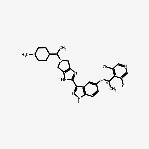 CC(C1CCN(C)CC1)N1Cc2nc(-c3n[nH]c4ccc(O[C@H](C)c5c(Cl)cncc5Cl)cc34)[nH]c2C1